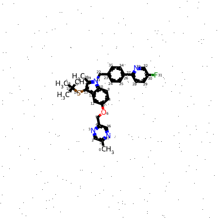 Cc1cnc(COc2ccc3c(c2)c(SC(C)(C)C)c(C)n3Cc2ccc(-c3ccc(F)cn3)cc2)cn1